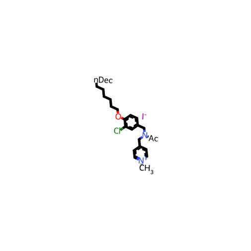 CCCCCCCCCCCCCCCCOc1ccc(CN(Cc2cc[n+](C)cc2)C(C)=O)cc1Cl.[I-]